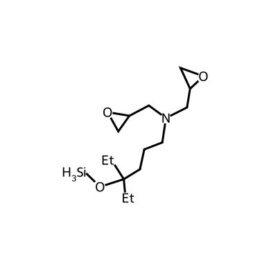 CCC(CC)(CCCN(CC1CO1)CC1CO1)O[SiH3]